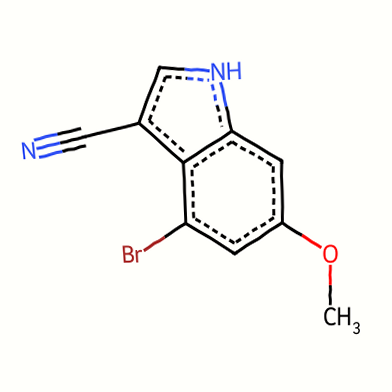 COc1cc(Br)c2c(C#N)c[nH]c2c1